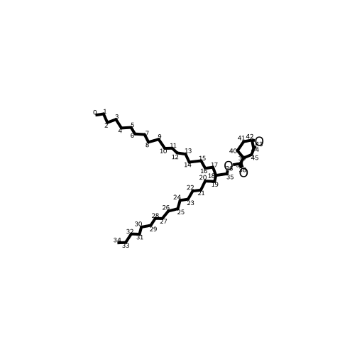 CCCCCCCCCCCCCCCCCCC(CCCCCCCCCCCCCCCC)COC(=O)C1CCC2OC2C1